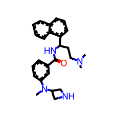 CN(C)CCC(NC(=O)c1cccc(N(C)C2CNC2)c1)c1cccc2ccccc12